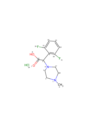 CN1CCN(C(C(=O)O)c2c(F)cccc2F)CC1.Cl